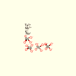 [K+].[Na+].[Nb+5].[O]=[Sb]([O-])([O-])[O-].[O]=[Sb]([O-])([O-])[O-].[O]=[Sb]([O-])([O-])[O-].[O]=[Sb]([O-])([O-])[O-].[Ta+5]